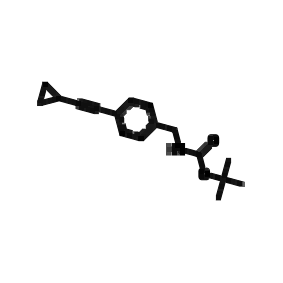 CC(C)(C)OC(=O)NCc1ccc(C#CC2CC2)cc1